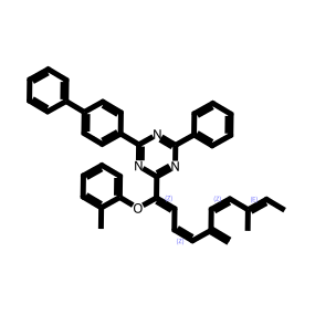 C=C(/C=C\C=C(/Oc1ccccc1C)c1nc(-c2ccccc2)nc(-c2ccc(-c3ccccc3)cc2)n1)/C=C\C(C)=C\C